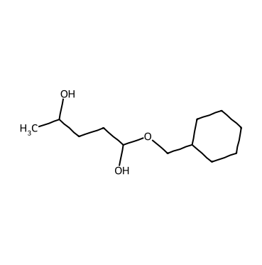 CC(O)CCC(O)OCC1CCCCC1